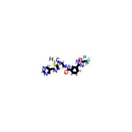 CN(CCNC(=O)c1cccc(-c2noc(C(F)(F)F)n2)c1)c1cnc(-c2cncnc2)s1